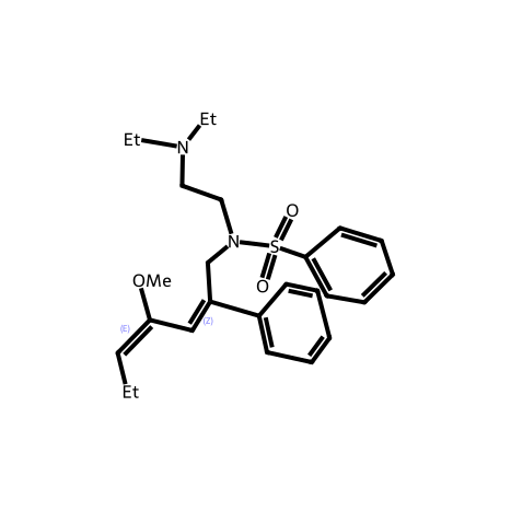 CC/C=C(\C=C(/CN(CCN(CC)CC)S(=O)(=O)c1ccccc1)c1ccccc1)OC